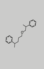 CC(CCCOCC(C)c1ccccc1)c1ccccc1